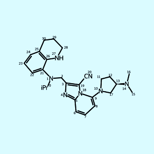 CC(C)N(Cc1nc2cccc(N3CC[C@@H](N(C)C)C3)n2c1C#N)c1cccc2c1NCCC2